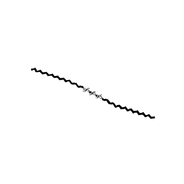 CCCCCCCCCCCCCCCCCCSSSSSSCCCCCCCCCCCCCCCCCC